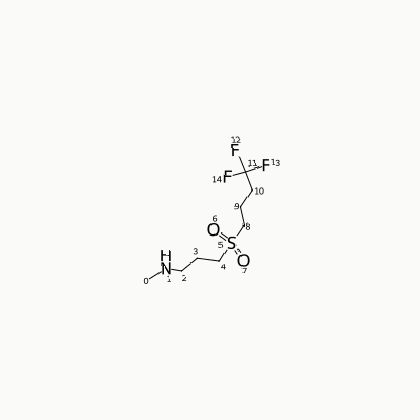 CNCCCS(=O)(=O)CCCC(F)(F)F